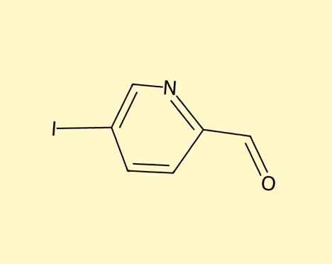 O=Cc1ccc(I)cn1